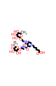 C[C@@H]1O[C@@H](OCCNC(=O)[C@H]2CN(CCCCCC(=O)O)CC[C@H]2C(=O)NCCO[C@@H]2O[C@@H](C)[C@@H](O)[C@@H](O)[C@@H]2O)[C@@H](O)[C@H](O)[C@@H]1O